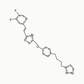 Fc1ccc(C=Cc2nc(COc3ccc(CCCCn4ccnn4)cc3)co2)cc1F